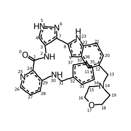 O=C(Nc1c[nH]nc1-c1cc2cc(CN3CCOCC3)ccc2[nH]1)c1ncccc1NCc1ccccc1